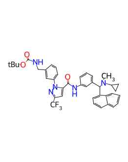 CN(C1CC1)C(c1cccc(NC(=O)c2cc(C(F)(F)F)nn2-c2cccc(CNC(=O)OC(C)(C)C)c2)c1)c1cccc2ccccc12